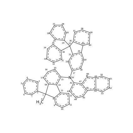 CC1(c2ccccc2)c2ccccc2-c2c(N(c3ccc4c(c3)C(c3ccccc3)(c3ccccc3)c3ccccc3-4)c3cccc4c3sc3ccccc34)cccc21